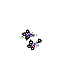 Br.CCCCSc1nc([PH](c2ccccc2)(c2ccccc2)c2ccc(C)cc2)c(C)[nH]1.Cc1ccc([PH](c2ccccc2)(c2ccccc2)c2nc(SCc3ccccc3)[nH]c2C)cc1